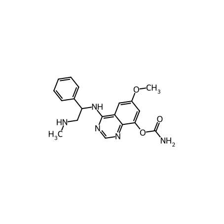 CNCC(Nc1ncnc2c(OC(N)=O)cc(OC)cc12)c1ccccc1